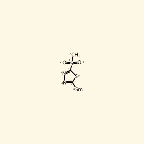 CS(=O)(=O)c1nn[c]([Sm])s1